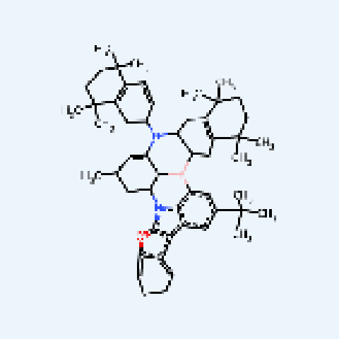 CC1C=C2C3B(c4cc(C(C)(C)C)cc5c6c7c(oc6n(c45)C3C1)=CCCC=7)C1CC3=C(CC1N2C1C=CC2=C(C1)C(C)(C)CCC2(C)C)C(C)(C)CCC3(C)C